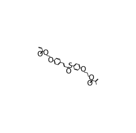 C=CC(=O)OCCOc1ccc(/C=C/C(=O)Sc2ccc(OCCCOC(=O)C(=C)C)cc2)cc1